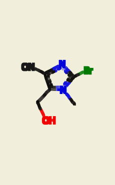 Cn1c(Br)nc(N=O)c1CO